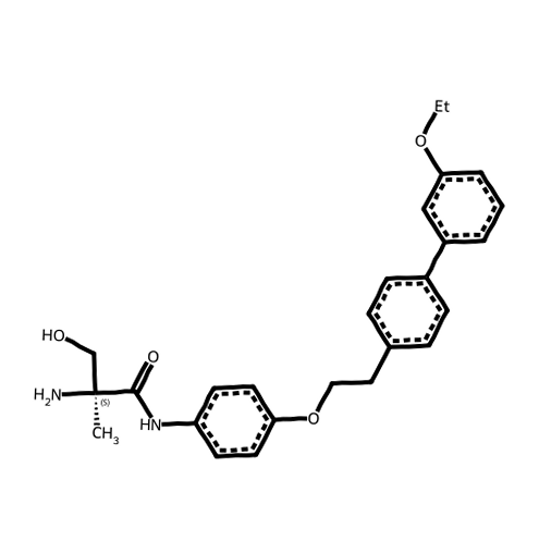 CCOc1cccc(-c2ccc(CCOc3ccc(NC(=O)[C@@](C)(N)CO)cc3)cc2)c1